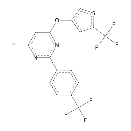 Fc1cc(Oc2csc(C(F)(F)F)c2)nc(-c2ccc(C(F)(F)F)cc2)n1